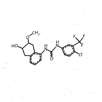 COC1Cc2c(cccc2NC(=O)Nc2ccc(Cl)c(C(F)(F)F)c2)CC1O